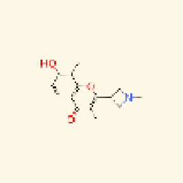 Cc1c(C2CN(C)C2)oc2c(C)c(O)ccc2c1=O